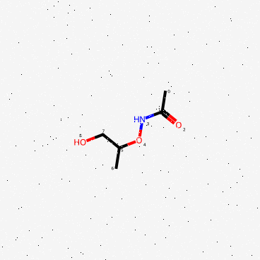 CC(=O)NOC(C)CO